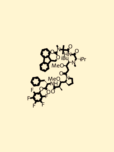 CC[C@H](C)[C@@H]([C@@H](CC(=O)N1CCC[C@H]1[C@H](OC)[C@@H](C)C(=O)N[C@@H](Cc1ccccc1)C(=O)Oc1c(F)c(F)c(F)c(F)c1F)OC)N(C)[C@H](C(=O)NC(=O)C(C)(C)N(C)C(=O)OCC1c2ccccc2-c2ccccc21)C(C)C